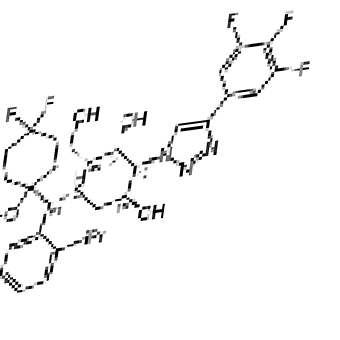 CC(C)c1ccccc1[C@@H]([SH]1C[C@H](O)[C@H](n2cc(-c3cc(F)c(F)c(F)c3)nn2)[C@@H](O)[C@H]1CO)C1(O)CCC(F)(F)CC1